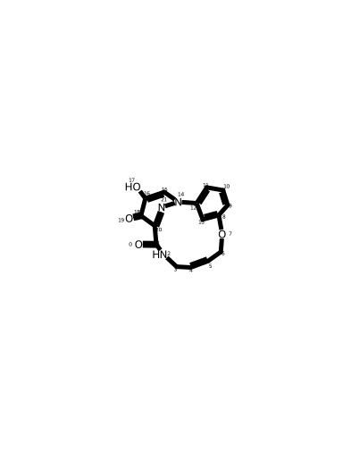 O=C1NC/C=C\COc2cccc(c2)-n2cc(O)c(=O)c1n2